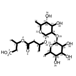 CC(CC(=O)O)OC(=O)CC(C)O[C@@H]1OC(C)[C@H](O)C(O)C1O[C@@H]1OC(C)[C@H](O)C(O)C1O